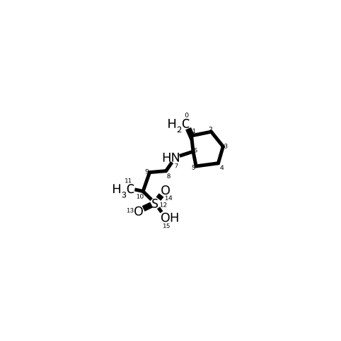 C=C1CCCCC1NCCC(C)S(=O)(=O)O